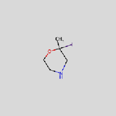 CC1(I)CNCCO1